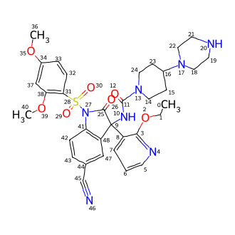 CCOc1ncccc1C1(NC(=O)N2CCC(N3CCNCC3)CC2)C(=O)N(S(=O)(=O)c2ccc(OC)cc2OC)c2ccc(C#N)cc21